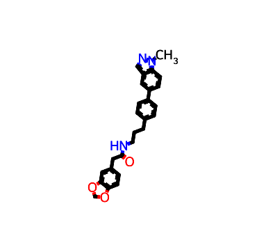 Cn1ncc2cc(-c3ccc(CCCNC(=O)Cc4ccc5c(c4)OCO5)cc3)ccc21